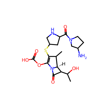 CC(O)C1C(=O)N2C(OC(=O)O)=C(SC3CNC(C(=O)N4CCC(N)C4)C3)C(C)[C@@H]12